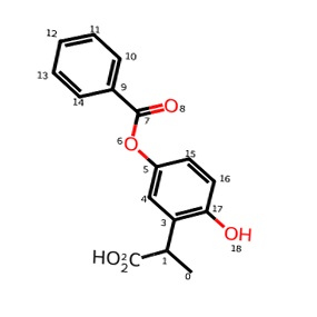 CC(C(=O)O)c1cc(OC(=O)c2ccccc2)ccc1O